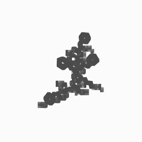 C[C@@H](O)[C@H](NC(=O)[C@H](CCCCN)NC(=O)[C@@H](Cc1c[nH]c2ccccc12)NC(=O)[C@H](Cc1ccccc1)NC(=O)[C@H](CS)NC(=O)[C@H](N)Cc1ccccc1)C(=O)N[C@@H](CS)C(=O)N[C@@H](Cc1ccc(O)cc1)C(=O)O